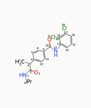 CC(C)NC(=O)C(C)c1ccc(C(=O)Nc2cccc(Cl)c2Cl)cc1